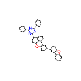 c1ccc(-c2nc(-c3ccccc3)nc(-c3ccc4c5c(cccc35)-c3cc(-c5ccc6oc7ccccc7c6c5)ccc3O4)n2)cc1